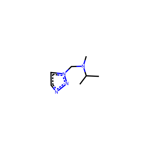 CC(C)N(C)Cn1ccnn1